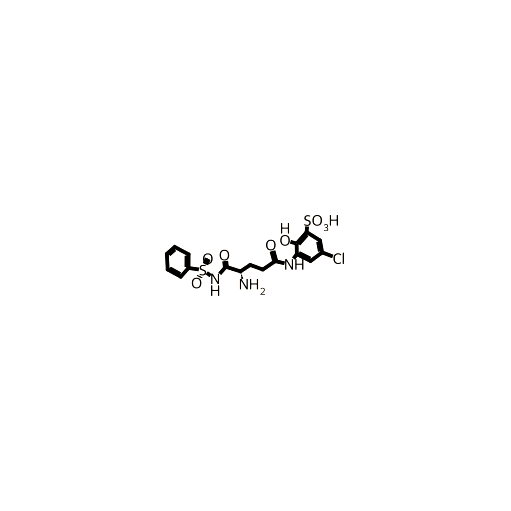 N[C@@H](CCC(=O)Nc1cc(Cl)cc(S(=O)(=O)O)c1O)C(=O)NS(=O)(=O)c1ccccc1